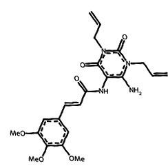 C=CCn1c(N)c(NC(=O)C=Cc2cc(OC)c(OC)c(OC)c2)c(=O)n(CC=C)c1=O